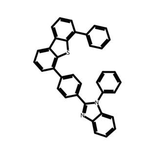 c1ccc(-c2cccc3c2sc2c(-c4ccc(-c5nc6ccccc6n5-c5ccccc5)cc4)cccc23)cc1